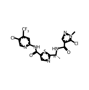 C[C@@H](NC(=O)c1cnn(C)c1Cl)c1ncc(C(=O)Nc2cc(C(F)(F)F)c(Cl)cn2)s1